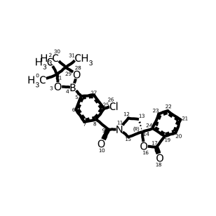 CC1(C)OB(c2ccc(C(=O)N3CC[C@@]4(C3)OC(=O)c3ccccc34)c(Cl)c2)OC1(C)C